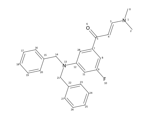 CN(C)C=CC(=O)c1cc(F)cc(N(Cc2ccccc2)Cc2ccccc2)c1